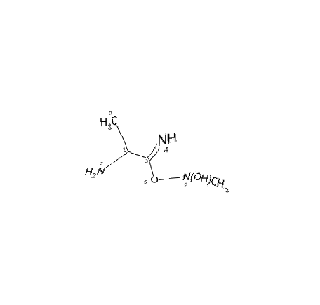 CC(N)C(=N)ON(C)O